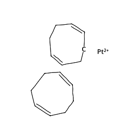 C1=CCCC=CCC1.C1=CCCC=CCC1.[Pt+2]